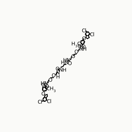 Cc1cc(O[C@@H]2CCc3c(Cl)cc(Cl)cc32)ccc1S(=O)(=O)NCCOCCOCCNC(=O)NCCCCNC(=O)NCCOCCOCCNS(=O)(=O)c1ccc(O[C@@H]2CCc3c(Cl)cc(Cl)cc32)cc1C